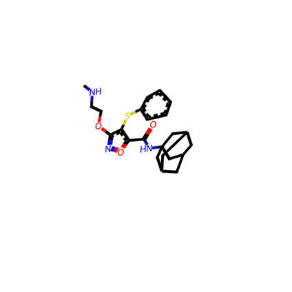 CNCCOc1noc(C(=O)NC23CC4CC(CC(C4)C2)C3)c1Sc1ccccc1